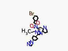 CCCn1c(-c2ccc(-n3ccnc3)cc2)cnc1[C@H](Cc1ccccn1)N(C=O)c1cc2cc(Br)ccc2o1